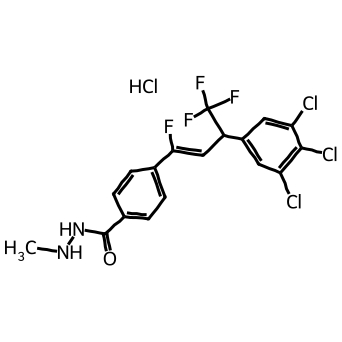 CNNC(=O)c1ccc(C(F)=CC(c2cc(Cl)c(Cl)c(Cl)c2)C(F)(F)F)cc1.Cl